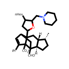 CCCCCCC1CC(C23C[C@@H]4[C@H](C)CC[C@H]4C4(C=O)CC2C=C(C(C)C)C34C(=O)O)OC1CN1CCCCC1